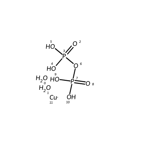 O.O.O=P(O)(O)OP(=O)(O)O.[Cu]